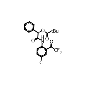 CC(C)(C)C(=O)O[C@@H](C(=O)Nc1ccc(Cl)cc1C(=O)C(F)(F)F)c1ccccc1